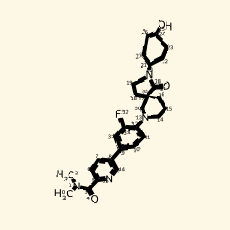 CN(C)C(=O)c1ccc(-c2ccc(N3CCC[C@]4(CCN(C5CCC(O)CC5)C4=O)C3)c(F)c2)cn1